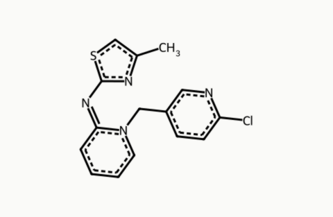 Cc1csc(N=c2ccccn2Cc2ccc(Cl)nc2)n1